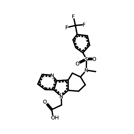 CN(C1CCc2c(c3ncccc3n2CC(=O)O)C1)S(=O)(=O)c1ccc(C(F)(F)F)cc1